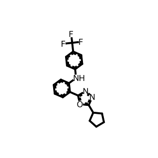 FC(F)(F)c1ccc(Nc2ccccc2-c2nnc(C3CCCC3)o2)cc1